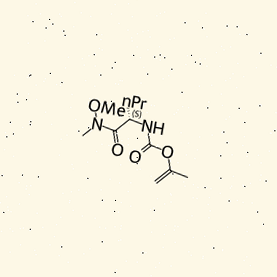 C=C(C)OC(=O)N[C@@H](CCC)C(=O)N(C)OC